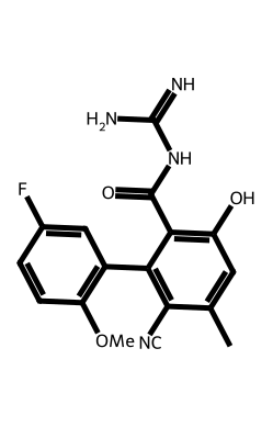 COc1ccc(F)cc1-c1c(C#N)c(C)cc(O)c1C(=O)NC(=N)N